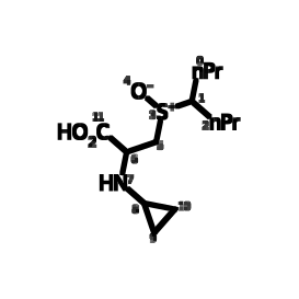 CCCC(CCC)[S+]([O-])CC(NC1CC1)C(=O)O